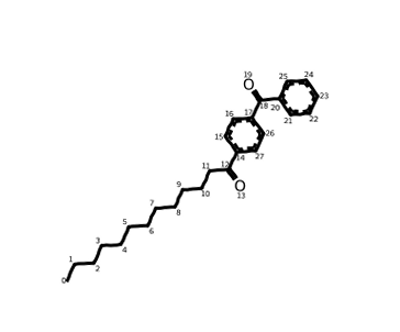 CCCCCCCCCCCCC(=O)c1ccc(C(=O)c2ccccc2)cc1